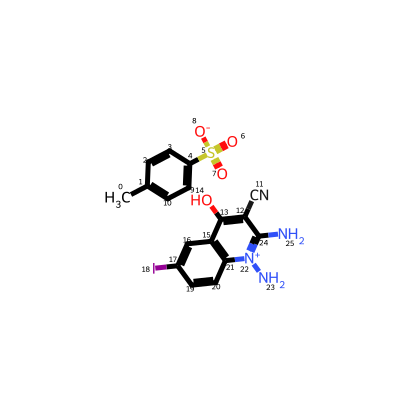 Cc1ccc(S(=O)(=O)[O-])cc1.N#Cc1c(O)c2cc(I)ccc2[n+](N)c1N